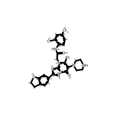 CCc1c(N2CCNCC2)c(=O)n2nc(-c3ccc4c(c3)OCC4)nc2n1CC(=O)Nc1ccc(C(F)(F)F)cc1Cl